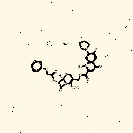 CCn1c(C(=O)OCC2=C(C(=O)[O-])N3C(=O)[C@@H](NC(=O)COc4ccccc4)[C@H]3SC2)cc(=O)c2cc(F)c(N3CCCC3)cc21.[Na+]